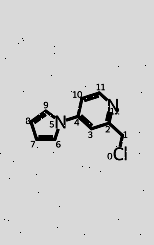 ClCc1cc(-n2cccc2)ccn1